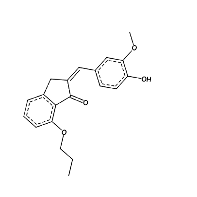 CCCOc1cccc2c1C(=O)C(=Cc1ccc(O)c(OC)c1)C2